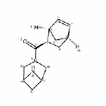 O=C([C@@H]1C[C@@H]2C=C[C@H]1C2)N1CC2CC(C1)N2